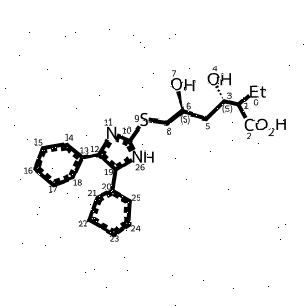 CCC(C(=O)O)[C@@H](O)C[C@H](O)CSc1nc(-c2ccccc2)c(-c2ccccc2)[nH]1